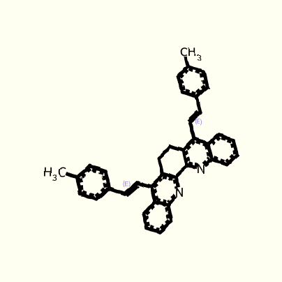 Cc1ccc(/C=C/c2c3c(nc4ccccc24)-c2nc4ccccc4c(/C=C/c4ccc(C)cc4)c2CC3)cc1